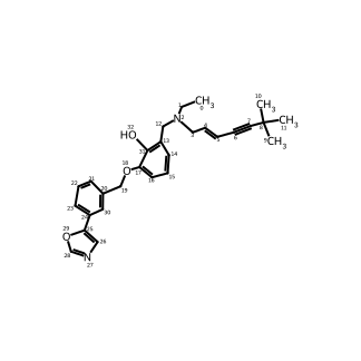 CCN(C/C=C/C#CC(C)(C)C)Cc1cccc(OCc2cccc(-c3cnco3)c2)c1O